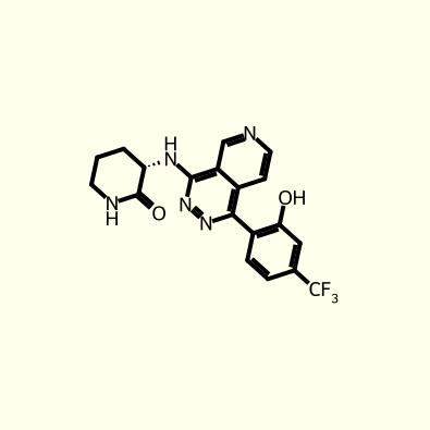 O=C1NCCC[C@@H]1Nc1nnc(-c2ccc(C(F)(F)F)cc2O)c2ccncc12